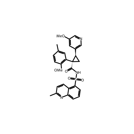 COc1cncc([C@H]2C[C@@]2(C(=O)NS(=O)(=O)c2cccc3nc(C)ccc23)c2cc(C)ccc2OC)c1